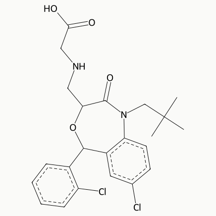 CC(C)(C)CN1C(=O)C(CNCC(=O)O)OC(c2ccccc2Cl)c2cc(Cl)ccc21